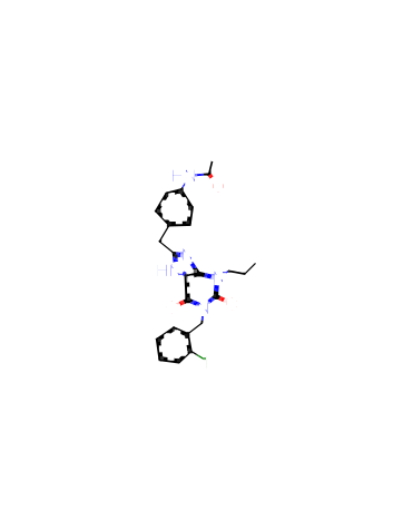 CCCn1c(=O)n(Cc2ccccc2F)c(=O)c2[nH]c(Cc3ccc(NC(C)=O)cc3)nc21